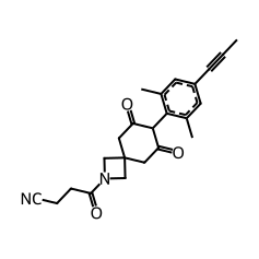 CC#Cc1cc(C)c(C2C(=O)CC3(CC2=O)CN(C(=O)CCC#N)C3)c(C)c1